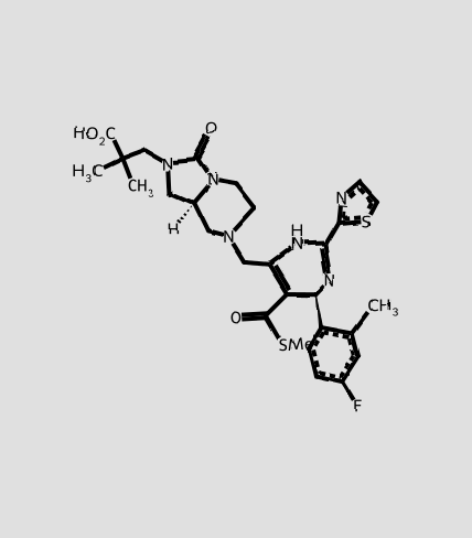 CSC(=O)C1=C(CN2CCN3C(=O)N(CC(C)(C)C(=O)O)C[C@@H]3C2)NC(c2nccs2)=N[C@H]1c1ccc(F)cc1C